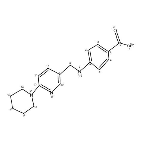 CCCC(=O)c1ccc(NCc2ccc(N3CCCCC3)nc2)cc1